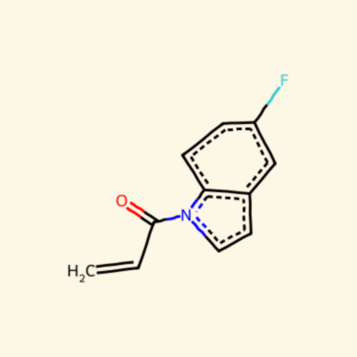 C=CC(=O)n1ccc2cc(F)ccc21